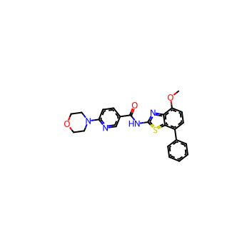 COc1ccc(-c2ccccc2)c2sc(NC(=O)c3ccc(N4CCOCC4)nc3)nc12